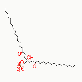 CCCCCCCCCCCCCCCC(=O)CCC(O)(CCC(=O)CCCCCCCCCCCCCCC)COS(=O)(=O)OC